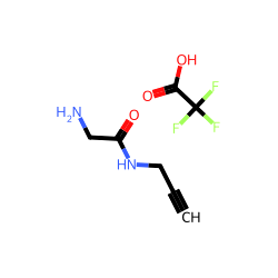 C#CCNC(=O)CN.O=C(O)C(F)(F)F